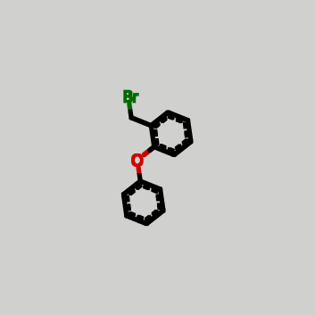 BrCc1ccccc1Oc1ccccc1